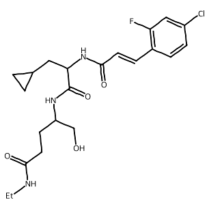 CCNC(=O)CCC(CO)NC(=O)C(CC1CC1)NC(=O)/C=C/c1ccc(Cl)cc1F